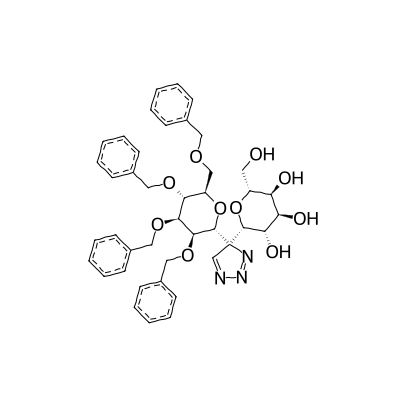 OC[C@H]1O[C@@H](C2([C@H]3O[C@H](COCc4ccccc4)[C@@H](OCc4ccccc4)[C@H](OCc4ccccc4)[C@@H]3OCc3ccccc3)C=NN=N2)[C@@H](O)[C@H](O)[C@@H]1O